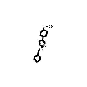 O=[C]c1ccc(-c2ccc(OCc3ccccc3)nc2)cc1